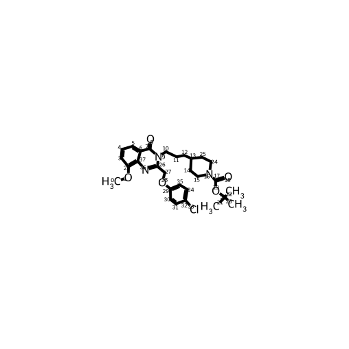 COc1cccc2c(=O)n(CCCC3CCN(C(=O)OC(C)(C)C)CC3)c(COc3ccc(Cl)cc3)nc12